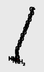 CCCCc1nc2c(N)nc3ccc(N4CCN(CCOCCOCCOCCOCCOCCOCCOCCOCCOCCOCCOCCOCCC(=O)C(C)C)CC4)cc3c2[nH]1